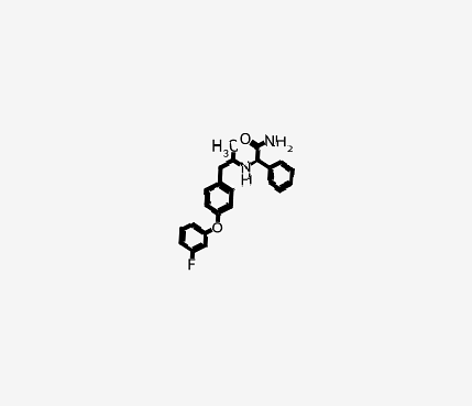 CC(Cc1ccc(Oc2cccc(F)c2)cc1)N[C@@H](C(N)=O)c1ccccc1